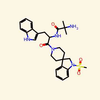 CC(C)(N)C(=O)NC(Cc1c[nH]c2ccccc12)C(=O)N1CCC2(CC1)CN(S(C)(=O)=O)c1ccccc12